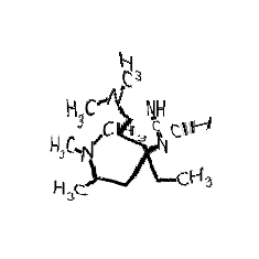 CCC(CCN(C)C)(CC(C)N(C)C)N=C=N.Cl